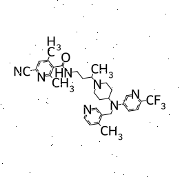 Cc1ccncc1CN(c1ccc(C(F)(F)F)nc1)C1CCN(C(C)CCNC(=O)c2c(C)cc(C#N)nc2C)CC1